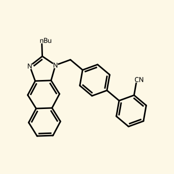 CCCCc1nc2cc3ccccc3cc2n1Cc1ccc(-c2ccccc2C#N)cc1